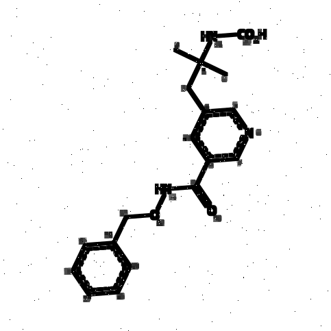 CC(C)(Cc1cncc(C(=O)NOCc2ccccc2)c1)NC(=O)O